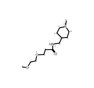 COCCOCCC(=O)NCC1CCN(C)CC1